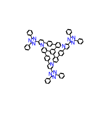 c1ccc(-c2nc(-c3ccccc3)nc(-c3ccc(-c4ccc(-c5ccccc5-c5cc(-c6ccccc6-c6ccc(-c7ccc(-c8nc(-c9ccccc9)nc(-c9ccccc9)n8)cn7)cc6)cc(-c6ccccc6-c6ccc(-c7ccc(-c8nc(-c9ccccc9)nc(-c9ccccc9)n8)cn7)cc6)c5)cc4)nc3)n2)cc1